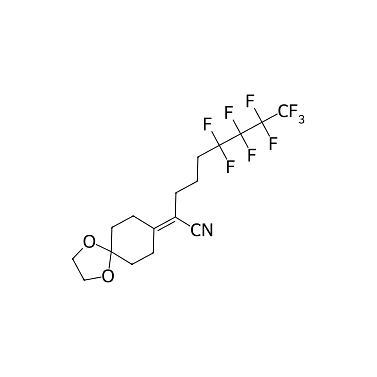 N#CC(CCCC(F)(F)C(F)(F)C(F)(F)C(F)(F)F)=C1CCC2(CC1)OCCO2